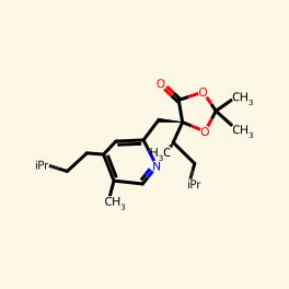 Cc1cnc(C[C@]2([C@@H](C)CC(C)C)OC(C)(C)OC2=O)cc1CCC(C)C